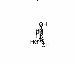 OCCSCNCNCNCC(CSCCO)CSCCO